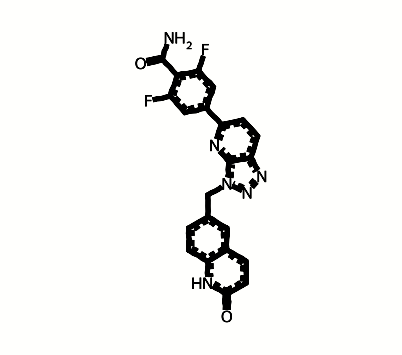 NC(=O)c1c(F)cc(-c2ccc3nnn(Cc4ccc5[nH]c(=O)ccc5c4)c3n2)cc1F